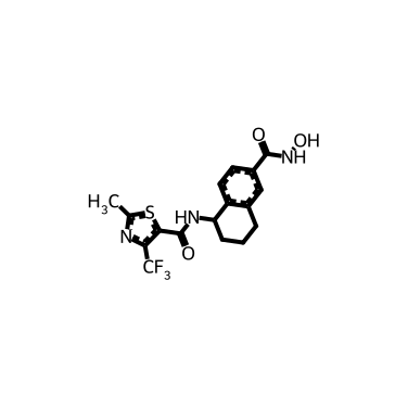 Cc1nc(C(F)(F)F)c(C(=O)NC2CCCc3cc(C(=O)NO)ccc32)s1